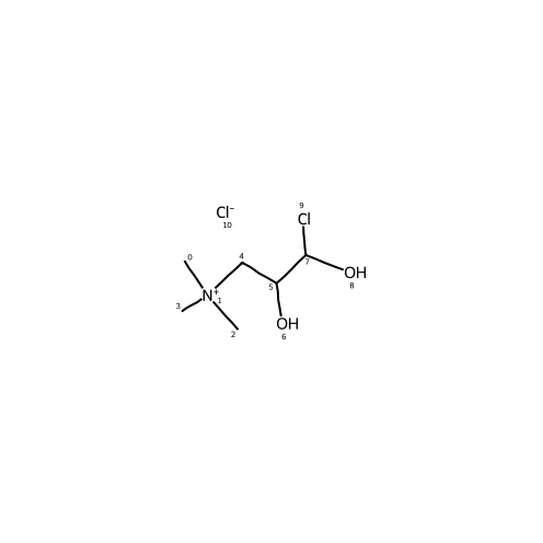 C[N+](C)(C)CC(O)C(O)Cl.[Cl-]